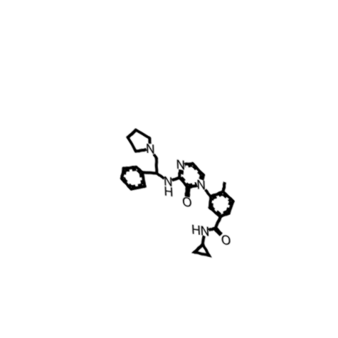 Cc1ccc(C(=O)NC2CC2)cc1-n1ccnc(NC(CN2CCCC2)c2ccccc2)c1=O